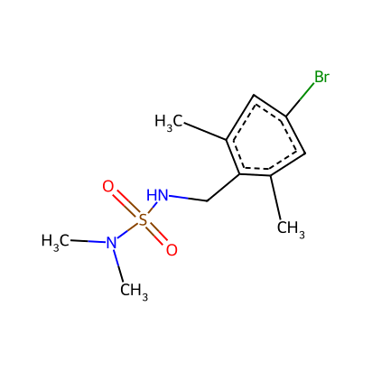 Cc1cc(Br)cc(C)c1CNS(=O)(=O)N(C)C